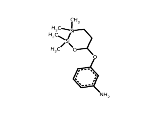 C[Si]1(C)CCC(Oc2cccc(N)c2)O[Si]1(C)C